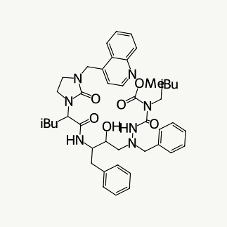 CCC(C)CN(C(=O)NN(Cc1ccccc1)CC(O)C(Cc1ccccc1)NC(=O)C(C(C)CC)N1CCN(Cc2ccnc3ccccc23)C1=O)C(=O)OC